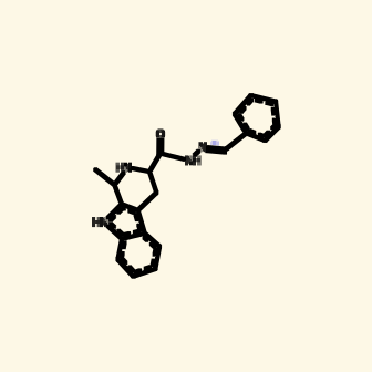 CC1NC(C(=O)N/N=C/c2ccccc2)Cc2c1[nH]c1ccccc21